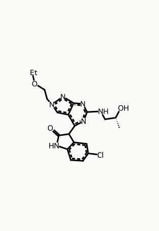 CCOCCn1cc2c(C3C(=O)Nc4ccc(Cl)cc43)nc(NC[C@@H](C)O)nc2n1